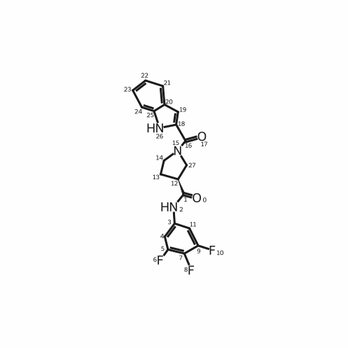 O=C(Nc1cc(F)c(F)c(F)c1)[C@H]1CCN(C(=O)c2cc3ccccc3[nH]2)C1